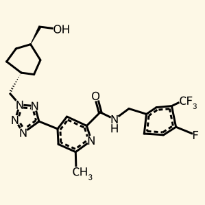 Cc1cc(-c2nnn(C[C@H]3CC[C@H](CO)CC3)n2)cc(C(=O)NCc2ccc(F)c(C(F)(F)F)c2)n1